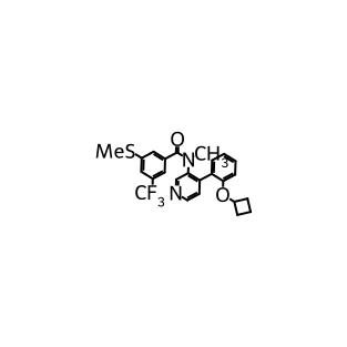 CSc1cc(C(=O)N(C)c2cnccc2-c2ccccc2OC2CCC2)cc(C(F)(F)F)c1